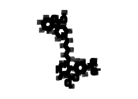 COC(=O)C1=C(C)N=CN(CCCCCN2CCC(C(=O)OC)(c3ccccc3)CC2)C1c1ccc([N+](=O)[O-])cc1